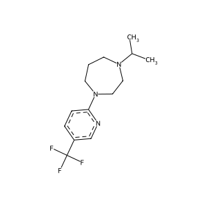 CC(C)N1CCCN(c2ccc(C(F)(F)F)cn2)CC1